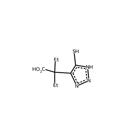 CCC(CC)(C(=O)O)c1nn[nH]c1S